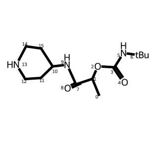 CC(OC(=O)NC(C)(C)C)C(=O)NC1CCNCC1